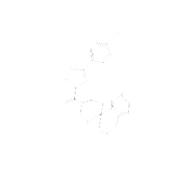 Cn1nc(C(=O)N2CCC3(CC2)OCCc2ccccc23)nc1-c1ccc(C(C)(C)C)cc1